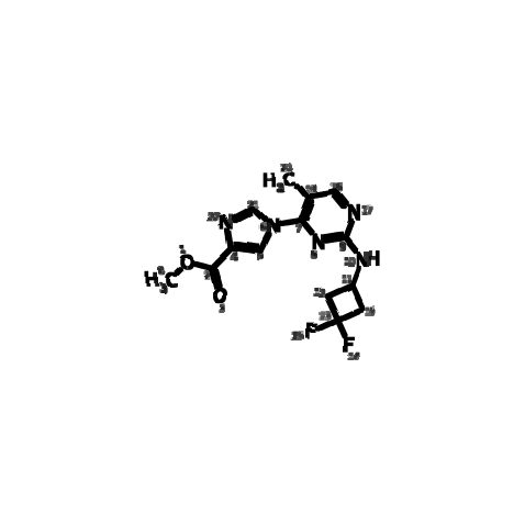 COC(=O)c1cn(-c2nc(NC3CC(F)(F)C3)ncc2C)cn1